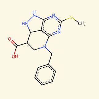 CSc1nc2c3c(n1)N(Cc1ccccc1)CC(C(=O)O)C3NN2